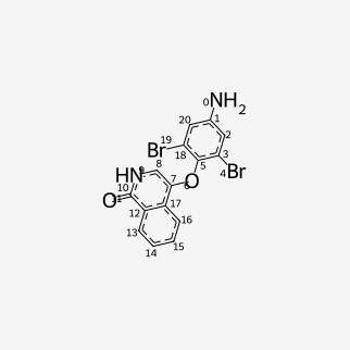 Nc1cc(Br)c(Oc2c[nH]c(=O)c3ccccc23)c(Br)c1